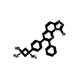 CCc1nnc2ccc3nc(-c4ccc([C@]5(N)C[C@](C)(O)C5)cc4)c(-c4ccccc4)nc3n12